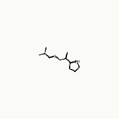 CC(C)CSCC(C)C1CCCN1